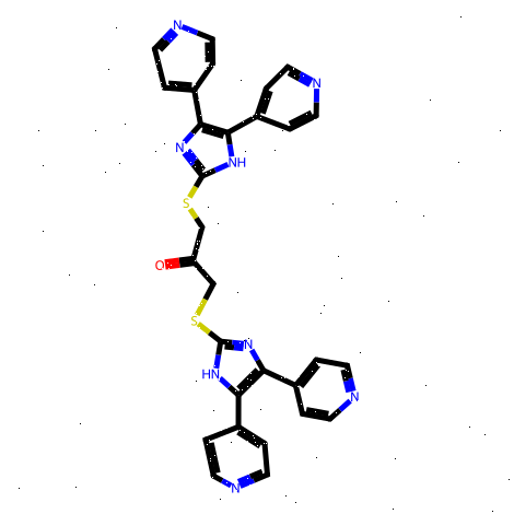 O=C(CSc1nc(-c2ccncc2)c(-c2ccncc2)[nH]1)CSc1nc(-c2ccncc2)c(-c2ccncc2)[nH]1